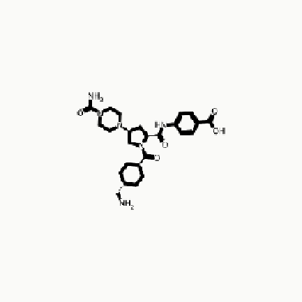 NC[C@H]1CC[C@H](C(=O)N2C[C@@H](N3CCN(C(N)=O)CC3)C[C@H]2C(=O)Nc2ccc(C(=O)O)cc2)CC1